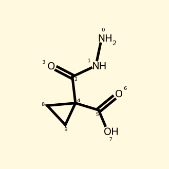 NNC(=O)C1(C(=O)O)CC1